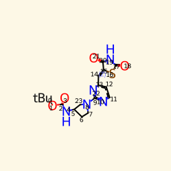 CC(C)(C)OC(=O)NC1CCN(c2nccc(/C=C3\SC(=O)NC3=O)n2)C1